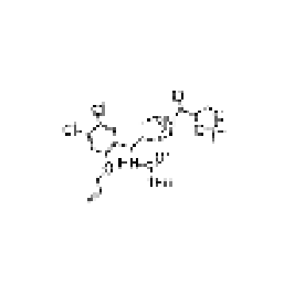 C=CCOc1cc(Cl)c(Cl)cc1C(N[S+]([O-])C(C)(C)C)C1CC2CC1CN2C(=O)[C@H]1COC(C)(C)O1